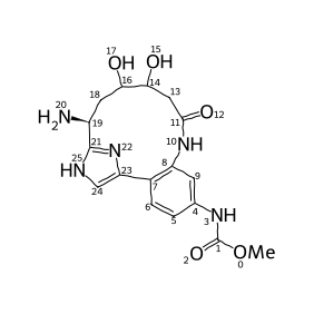 COC(=O)Nc1ccc2c(c1)NC(=O)CC(O)C(O)C[C@H](N)c1nc-2c[nH]1